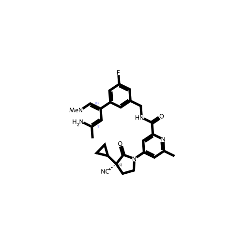 CN/C=C(\C=C(\C)N)c1cc(F)cc(CNC(=O)c2cc(N3CC[C@@](C#N)(C4CC4)C3=O)cc(C)n2)c1